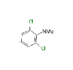 CNc1c(Cl)c[c]cc1Cl